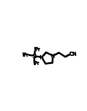 CC(C)[Si](C(C)C)(C(C)C)N1CCN(CCC#N)C1